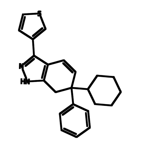 C1=CC(c2ccccc2)(C2CCCCC2)Cc2[nH]nc(-c3ccsc3)c21